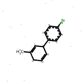 CC1=CC(c2ccc(Br)cc2)C=CC1